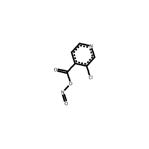 O=NOC(=O)c1ccncc1Cl